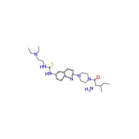 CCC(C)[C@H](N)C(=O)N1CCN(c2ccc3cc(NC(=S)NCCN(CC)CC)ccc3n2)CC1